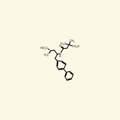 C[C@H](CC(Cc1ccc(-c2ccccc2)cc1)NC(=O)CC(C)(C)C(=O)O)C(=O)O